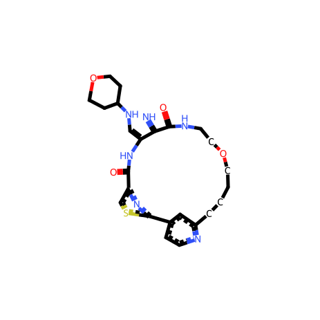 N=C1C(=O)NCCOCCCCc2cc(ccn2)-c2nc(cs2)C(=O)N/C1=C/NC1CCOCC1